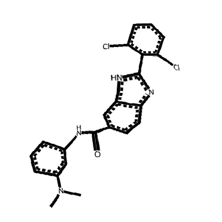 CN(C)c1cccc(NC(=O)c2ccc3nc(-c4c(Cl)cccc4Cl)[nH]c3c2)c1